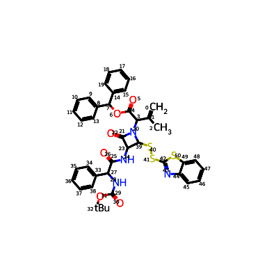 C=C(C)C(C(=O)OC(c1ccccc1)c1ccccc1)N1C(=O)C(NC(=O)C(NC(=O)OC(C)(C)C)c2ccccc2)C1SSc1nc2ccccc2s1